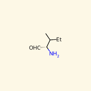 CCC(C)[C@H](N)C=O